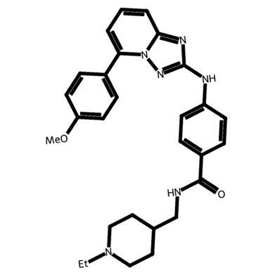 CCN1CCC(CNC(=O)c2ccc(Nc3nc4cccc(-c5ccc(OC)cc5)n4n3)cc2)CC1